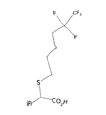 CC(C)C(SCCCCC(F)(F)C(F)(F)F)C(=O)O